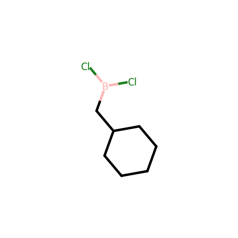 ClB(Cl)CC1CCCCC1